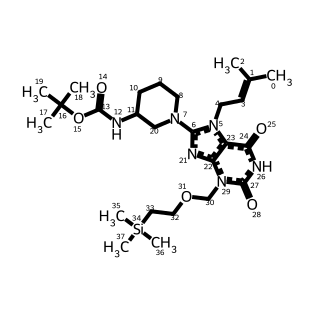 CC(C)=CCn1c(N2CCCC(NC(=O)OC(C)(C)C)C2)nc2c1c(=O)[nH]c(=O)n2COCC[Si](C)(C)C